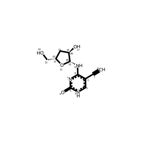 C#Cc1c[nH]c(=O)nc1N[C@@H]1O[C@H](CO)C[C@H]1O